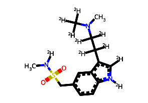 [2H]c1c(C([2H])([2H])C([2H])([2H])N(C)C([2H])([2H])[2H])c2cc(CS(=O)(=O)N([2H])C)ccc2n1[2H]